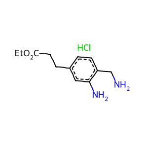 CCOC(=O)CCc1ccc(CN)c(N)c1.Cl